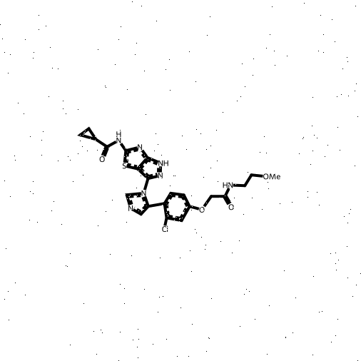 COCCNC(=O)COc1ccc(-c2cncn2-c2n[nH]c3nc(NC(=O)C4CC4)sc23)c(Cl)c1